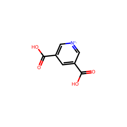 O=C(O)C1=C[N+]=CC(C(=O)O)=C1